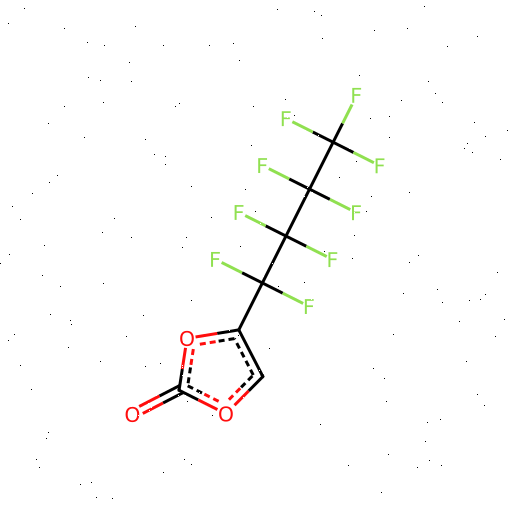 O=c1occ(C(F)(F)C(F)(F)C(F)(F)C(F)(F)F)o1